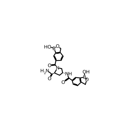 NC(=O)[C@@H]1C[C@@H](NC(=O)c2ccc3c(c2)B(O)OC3)CN1C(=O)c1ccc2c(c1)B(O)OC2